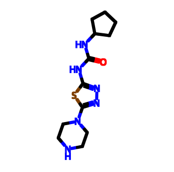 O=C(Nc1nnc(N2CCNCC2)s1)NC1CCCC1